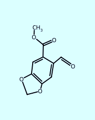 COC(=O)c1cc2c(cc1C=O)OCO2